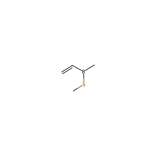 C=CB(C)SC